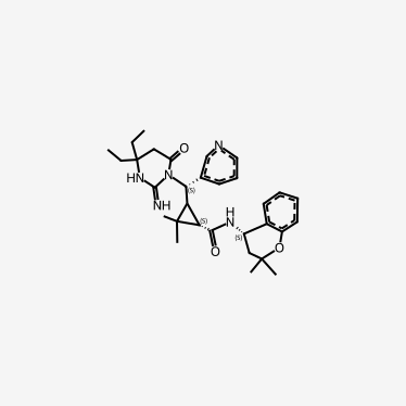 CCC1(CC)CC(=O)N([C@H](c2cccnc2)C2[C@H](C(=O)N[C@H]3CC(C)(C)Oc4ccccc43)C2(C)C)C(=N)N1